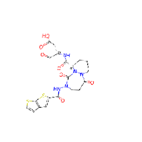 O=C[C@H](CC(=O)O)NC(=O)[C@@H]1CCCN2C(=O)CCN(NC(=O)c3cc4ccsc4s3)C(=O)N12